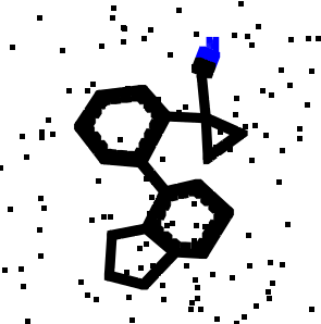 N#CC1(c2ccccc2-c2cccc3c2CCC3)CC1